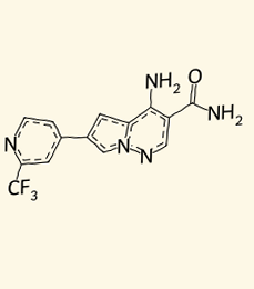 NC(=O)c1cnn2cc(-c3ccnc(C(F)(F)F)c3)cc2c1N